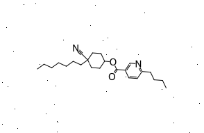 CCCCCCCC1(C#N)CCC(OC(=O)c2ccc(CCCC)nc2)CC1